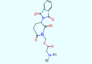 CCN(CC)CC(=O)OCN1C(=O)CCC(N2C(=O)c3ccccc3C2=O)C1=O